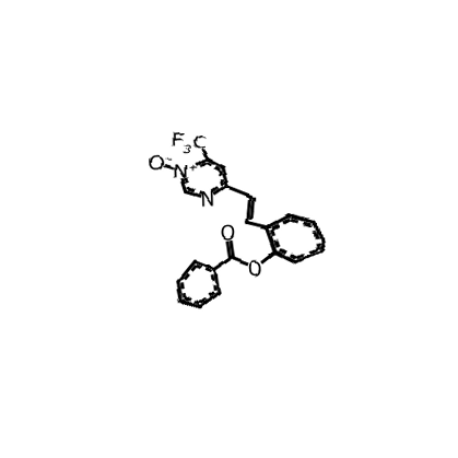 O=C(Oc1ccccc1C=Cc1cc(C(F)(F)F)[n+]([O-])cn1)c1ccccc1